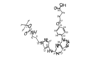 CC(C)(C)OC(=O)NCCCn1cc(Nc2ncc3nnn(-c4ccc(OCCCC(=O)O)cc4)c3n2)cn1